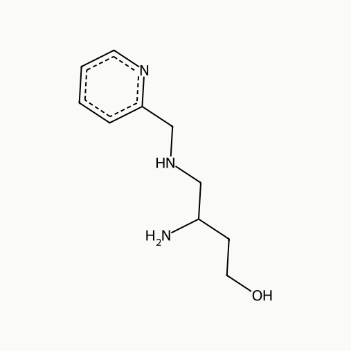 NC(CCO)CNCc1ccccn1